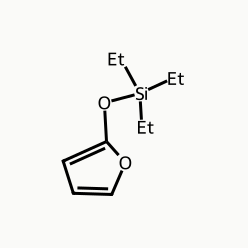 CC[Si](CC)(CC)Oc1ccco1